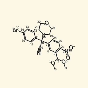 COC(OC)c1cc(C(C#N)(c2ccc(Br)cc2)N2CCOCC2)ccc1[N+](=O)[O-]